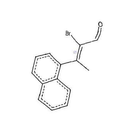 C/C(=C(/Br)C=O)c1cccc2ccccc12